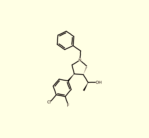 C[C@H](O)[C@H]1CN(Cc2ccccc2)C[C@@H]1c1ccc(Cl)c(F)c1